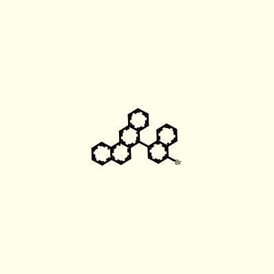 Brc1ccc(-c2c3ccccc3cc3c2ccc2ccccc23)c2ccccc12